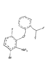 Nc1c(Br)ccc(F)c1Oc1ccccc1C(F)F